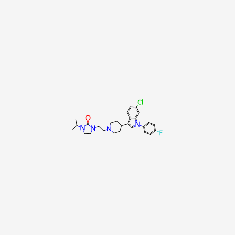 CC(C)N1CCN(CCN2CCC(c3cn(-c4ccc(F)cc4)c4cc(Cl)ccc34)CC2)C1=O